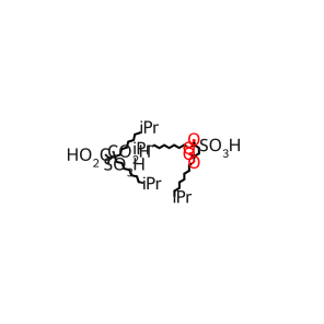 CC(C)CCCCCCCC(CCCCCCCC(C)C)(C(=O)O)C(C(=O)O)S(=O)(=O)O.CC(C)CCCCCCCOC(=O)CC(C(=O)OCCCCCCCC(C)C)S(=O)(=O)O